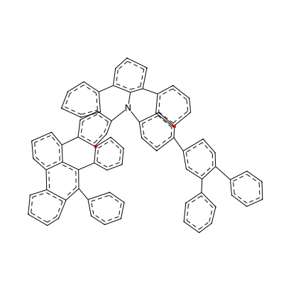 c1ccc(-c2ccc(-c3ccc(N(c4ccc(-c5cccc6c5c(-c5ccccc5)c(-c5ccccc5)c5ccccc56)cc4)c4c(-c5ccccc5)cccc4-c4ccccc4)cc3)cc2-c2ccccc2)cc1